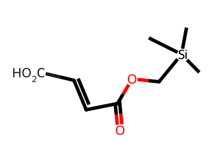 C[Si](C)(C)COC(=O)C=CC(=O)O